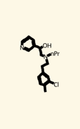 CCCN(CCc1ccc(C)c(Cl)c1)CC(O)c1cccnc1